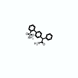 NC(=O)C(c1ccccc1)c1ccc(-c2ccccc2S(N)(=O)=O)cc1